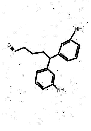 Nc1cccc(C(CCCP=O)c2cccc(N)c2)c1